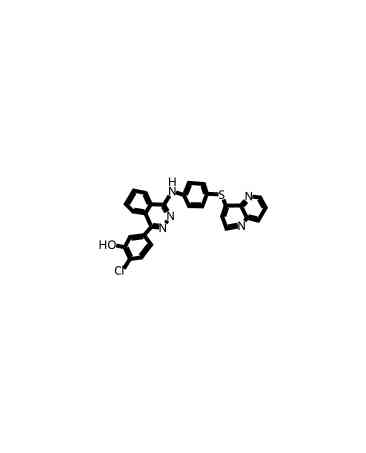 Oc1cc(-c2nnc(Nc3ccc(Sc4ccnc5cccnc45)cc3)c3ccccc23)ccc1Cl